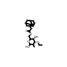 CCO[C@@H]1C(C)C(O)OC(COC(=O)CC23CC4CC(CC(C4)C2)C3)[C@H]1O